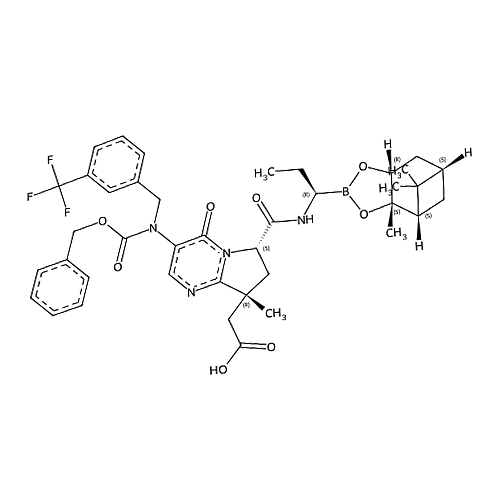 CC[C@H](NC(=O)[C@@H]1C[C@](C)(CC(=O)O)c2ncc(N(Cc3cccc(C(F)(F)F)c3)C(=O)OCc3ccccc3)c(=O)n21)B1O[C@@H]2C[C@@H]3C[C@@H](C3(C)C)[C@]2(C)O1